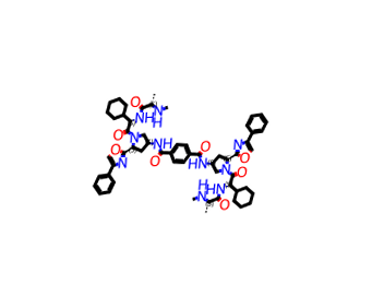 CN[C@@H](C)C(=O)N[C@H](C(=O)N1C[C@@H](NC(=O)c2ccc(C(=O)N[C@H]3C[C@@H](c4nc(-c5ccccc5)co4)N(C(=O)[C@@H](NC(=O)[C@H](C)NC)C4CCCCC4)C3)cc2)C[C@H]1c1nc(-c2ccccc2)co1)C1CCCCC1